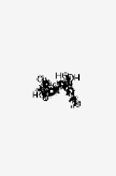 CC(=O)N1CC(N2CCC(c3nn(C(O)O)c4ccc(-c5nc6cc(C)c([C@H](OC(C)(C)C)C(=O)O)c(-c7ccc(Cl)cc7)c6s5)nc34)CC2)C1